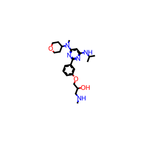 CNCC(O)COc1cccc(-c2nc(NC(C)C)cc(N(C)C3CCOCC3)n2)c1